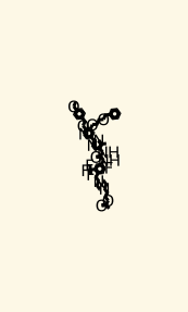 COc1ccc(COc2ncc(-c3ncc(NC(=O)Nc4cc(C(F)(F)F)c(CN5CCN(CCOC(C)=O)CC5)cc4F)c(C)n3)cc2OCCOCc2ccccc2)cc1